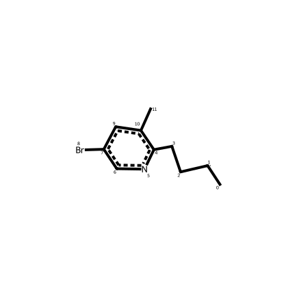 C[CH]CCc1ncc(Br)cc1C